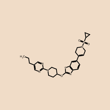 CCCc1cnc(N2CCC(Oc3nc4ccc(C5=CCN(S(=O)(=O)C6CC6)CC5)cc4s3)CC2)nc1